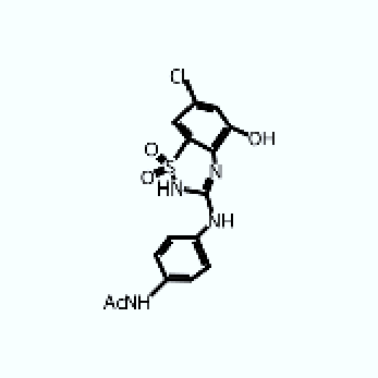 CC(=O)Nc1ccc(NC2=Nc3c(O)cc(Cl)cc3S(=O)(=O)N2)cc1